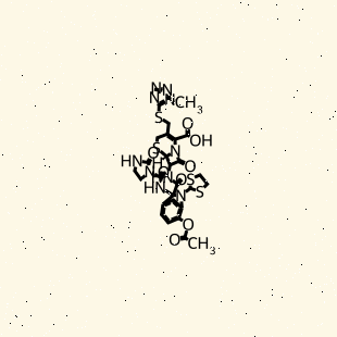 CC(=O)Oc1ccc2cc1N(C1SCCS1)C2(NC(=O)N1CCNC1=O)C(=O)NC1C(=O)N2C(C(=O)O)=C(CSc3nnnn3C)CS[C@@H]12